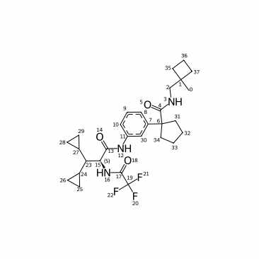 CC1(CNC(=O)C2(c3cccc(NC(=O)[C@@H](NC(=O)C(F)(F)F)C(C4CC4)C4CC4)c3)CCCC2)CCC1